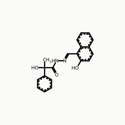 CC(O)(C(=O)NN=Cc1c(O)ccc2ccccc12)c1ccccc1